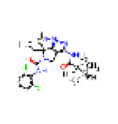 CCC1(C)c2[nH]nc(NC(=O)C(C)(C)[Si](C)(C)C)c2CN1C(=O)Nc1c(Cl)cccc1Cl